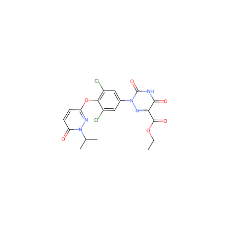 CCOC(=O)c1nn(-c2cc(Cl)c(Oc3ccc(=O)n(C(C)C)n3)c(Cl)c2)c(=O)[nH]c1=O